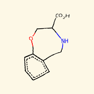 O=C(O)C1COc2ccccc2CN1